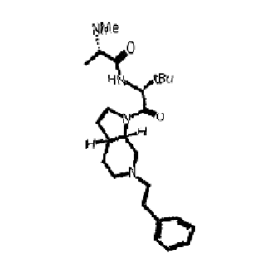 CN[C@@H](C)C(=O)N[C@H](C(=O)N1CC[C@H]2CCN(CCc3ccccc3)C[C@H]21)C(C)(C)C